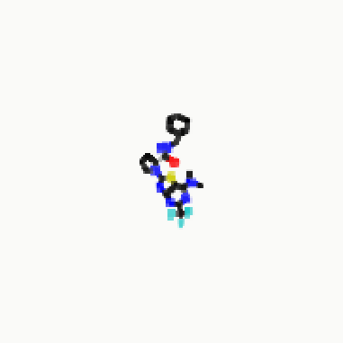 CN(C)c1nc(C(F)(F)F)nc2nc(N3CCC[C@@H]3C(=O)NCc3ccccc3)sc12